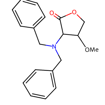 COC1COC(=O)C1N(Cc1ccccc1)Cc1ccccc1